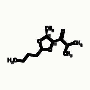 CCCCC1O[C@H](C(=O)N(C)C)[C@@H](C)O1